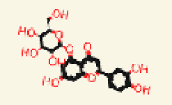 O=c1cc(-c2ccc(O)c(O)c2)oc2cc(O)cc(O[C@@H]3O[C@H](CO)[C@@H](O)[C@H](O)[C@H]3O)c12